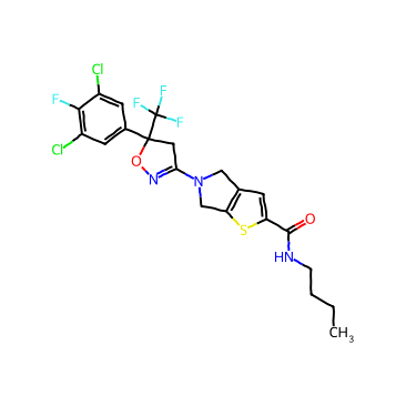 CCCCNC(=O)c1cc2c(s1)CN(C1=NOC(c3cc(Cl)c(F)c(Cl)c3)(C(F)(F)F)C1)C2